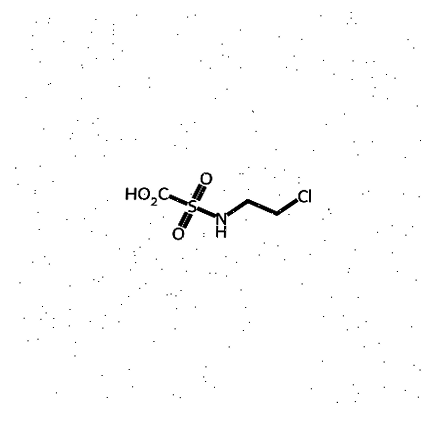 O=C(O)S(=O)(=O)NCCCl